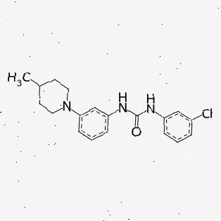 CC1CCN(c2cccc(NC(=O)Nc3cccc(Cl)c3)c2)CC1